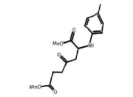 COC(=O)CCC(=O)CC(Nc1ccc(C)cc1)C(=O)OC